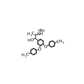 Cc1ccc(Oc2ccc(C(O)C(C)NC(C)(C)C)cc2Oc2ccc(C)cc2)cc1